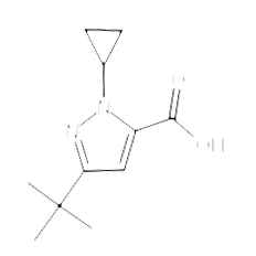 CC(C)(C)c1cc(C(=O)O)n(C2CC2)n1